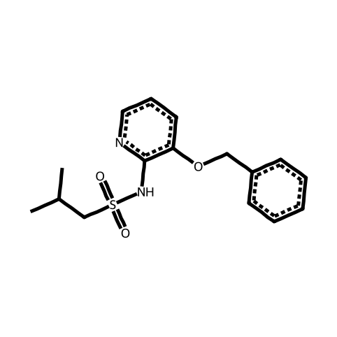 CC(C)CS(=O)(=O)Nc1ncccc1OCc1ccccc1